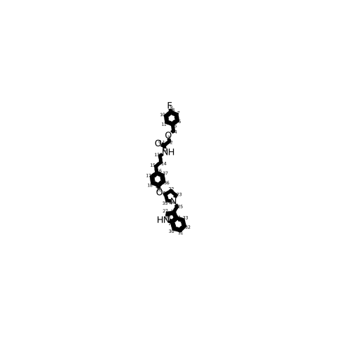 O=C(COCc1ccc(F)cc1)NCCCc1ccc(O[C@@H]2CCN(Cc3c[nH]c4ccccc34)C2)cc1